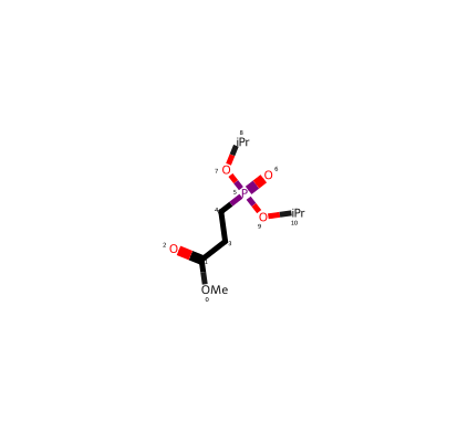 COC(=O)CCP(=O)(OC(C)C)OC(C)C